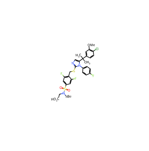 CCCCN(CC(=O)O)S(=O)(=O)c1cc(F)c(CSc2ncc(C(C)(C)c3ccc(Cl)c(OC)c3)n2-c2ccc(F)cc2)c(F)c1